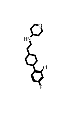 Fc1ccc(C2CCC(CCNC3CCOCC3)CC2)c(Cl)c1